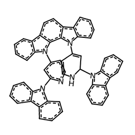 C1=CC(n2c3ccccc3c3ccc4c5ccccc5n(-c5ccnc(-n6c7ccccc7c7ccccc76)c5)c4c32)=CC(n2c3ccccc3c3ccccc32)N1